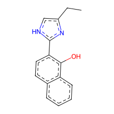 CCc1c[nH]c(-c2ccc3ccccc3c2O)n1